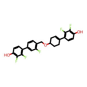 Oc1ccc(C2=CCC(OCc3ccc(-c4ccc(O)c(F)c4F)cc3F)CC2)c(F)c1F